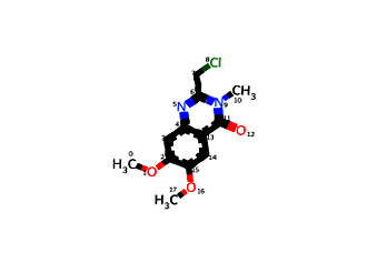 COc1cc2nc(CCl)n(C)c(=O)c2cc1OC